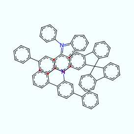 c1ccc(-c2ccc(N(c3ccc4c(c3)C3(c5ccccc5-c5ccccc53)c3ccccc3-4)c3cc(-c4ccccc4)ccc3-c3ccccc3-c3ccc4c5ccccc5n(-c5ccccc5)c4c3)cc2)cc1